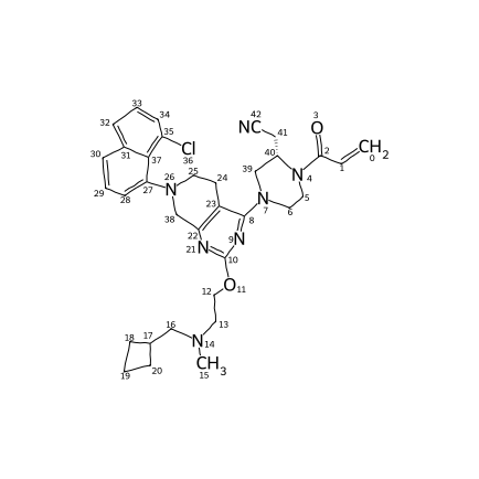 C=CC(=O)N1CCN(c2nc(OCCN(C)CC3CCC3)nc3c2CCN(c2cccc4cccc(Cl)c24)C3)C[C@@H]1CC#N